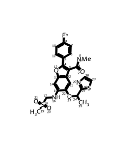 CNC(=O)c1c(-c2ccc(F)cc2)oc2cc(NCS(C)(=O)=O)c(OC(C)c3nccs3)cc12